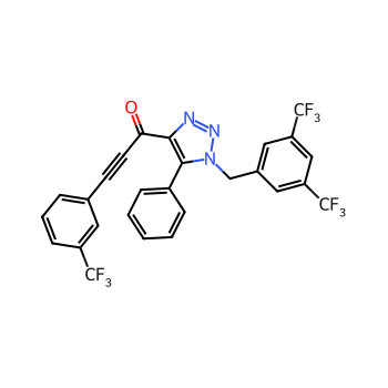 O=C(C#Cc1cccc(C(F)(F)F)c1)c1nnn(Cc2cc(C(F)(F)F)cc(C(F)(F)F)c2)c1-c1ccccc1